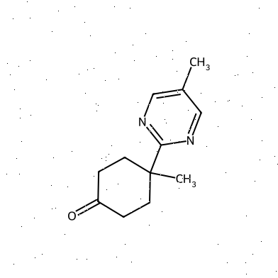 Cc1cnc(C2(C)CCC(=O)CC2)nc1